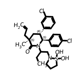 C=CC[C@@]1(C)C[C@H](c2cccc(Cl)c2)[C@@H](c2ccc(Cl)cc2)N(C(CC)CN2CCCS2(O)O)C1=O